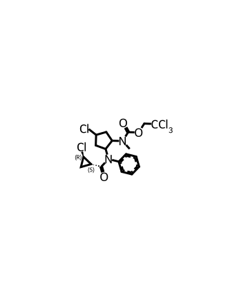 CN(C(=O)OCC(Cl)(Cl)Cl)C1CC(Cl)CC1N(C(=O)[C@@H]1C[C@H]1Cl)c1ccccc1